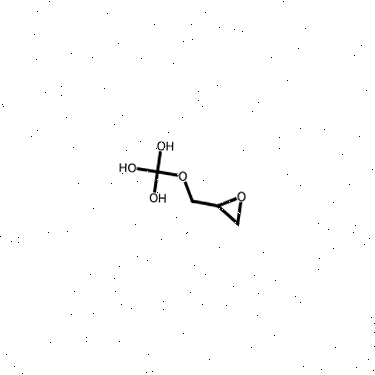 OC(O)(O)OCC1CO1